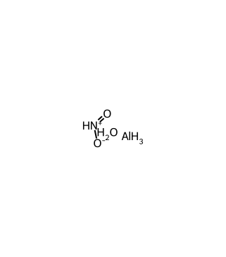 O.O=[NH+][O-].[AlH3]